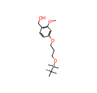 COc1cc(OCCCO[Si](C)(C)C(C)(C)C)ccc1CO